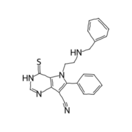 N#Cc1c(-c2ccccc2)n(CCNCc2ccccc2)c2c(=S)[nH]cnc12